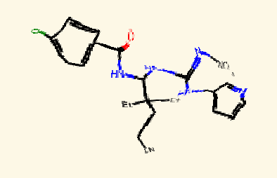 CCC(CC)(CCC#N)C(NC(=O)c1ccc(Cl)cc1)N/C(=N/[N+](=O)[O-])Nc1cccnc1